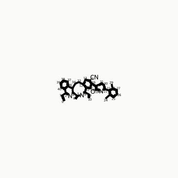 C=CC1=NC2C(=C)/N=C(/C=C)c3c(cc(C#N)c4c3oc3nc(-c5c(C)cccc5C)ccc34)CCC2c2ccccc21